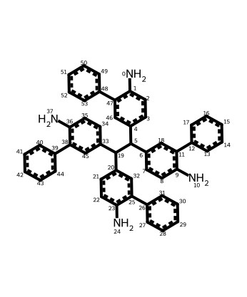 Nc1ccc(C(c2ccc(N)c(-c3ccccc3)c2)C(c2ccc(N)c(-c3ccccc3)c2)c2ccc(N)c(-c3ccccc3)c2)cc1-c1ccccc1